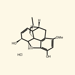 COc1cc(O)c2c3c1C[C@@H]1[C@@H]4C=C[C@H](O)[C@H](O2)[C@]34CCN1C.Cl